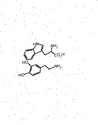 NC(Cc1c[nH]c2ccccc12)C(=O)O.NCCc1ccc(O)c(O)c1